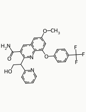 COc1cc(Oc2ccc(C(F)(F)F)cc2)c2nc(C(CO)c3ccccn3)c(C(N)=O)cc2c1